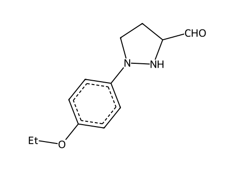 CCOc1ccc(N2CCC(C=O)N2)cc1